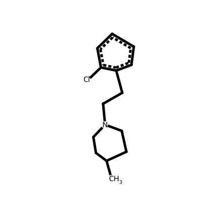 CC1CCN(CCc2ccccc2Cl)CC1